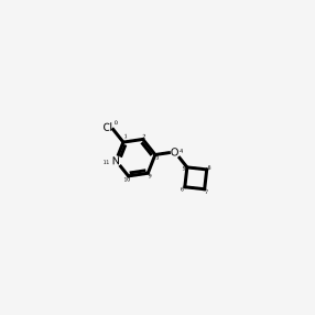 Clc1cc(OC2CCC2)ccn1